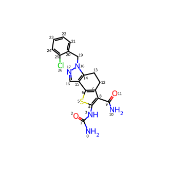 NC(=O)Nc1sc2c(c1C(N)=O)CCc1c-2cnn1Cc1ccccc1Cl